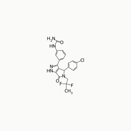 CC(F)(F)CN1C(=O)c2[nH]nc(-c3cccc(NC(N)=O)c3)c2C1c1ccc(Cl)cc1